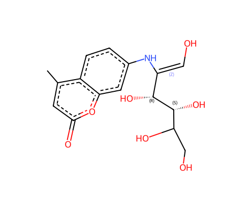 Cc1cc(=O)oc2cc(N/C(=C\O)[C@@H](O)[C@H](O)C(O)CO)ccc12